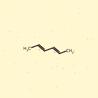 [CH2]/C=C/[C]=C/C